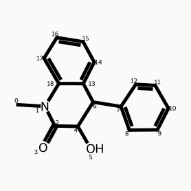 CN1C(=O)C(O)C(c2ccccc2)c2ccccc21